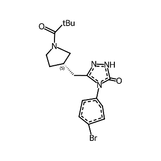 CC(C)(C)C(=O)N1CC[C@@H](Cc2n[nH]c(=O)n2-c2ccc(Br)cc2)C1